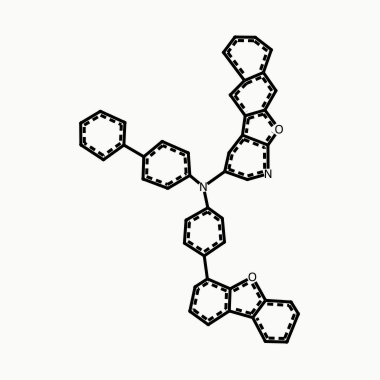 c1ccc(-c2ccc(N(c3ccc(-c4cccc5c4oc4ccccc45)cc3)c3cnc4oc5cc6ccccc6cc5c4c3)cc2)cc1